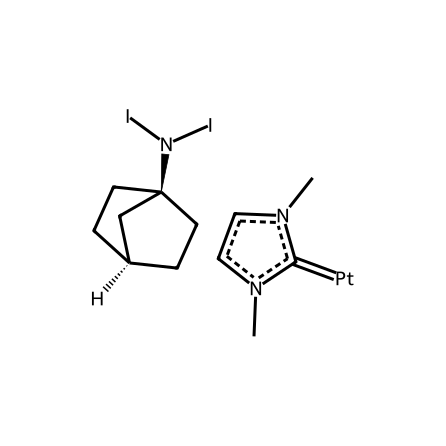 Cn1ccn(C)[c]1=[Pt].IN(I)[C@]12CC[C@@H](CC1)C2